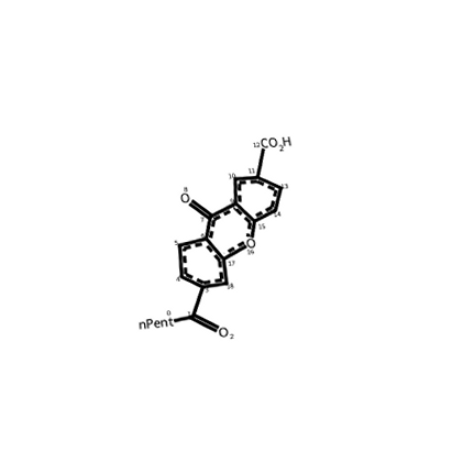 CCCCCC(=O)c1ccc2c(=O)c3cc(C(=O)O)ccc3oc2c1